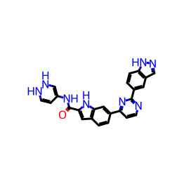 O=C(NC1=CNNC=C1)c1cc2ccc(-c3ccnc(-c4ccc5[nH]ncc5c4)n3)cc2[nH]1